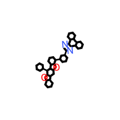 c1ccc(-c2c3oc4ccccc4c3cc3oc4c(-c5cccc(-c6cnc7c8ccccc8c8ccccc8c7n6)c5)cccc4c23)cc1